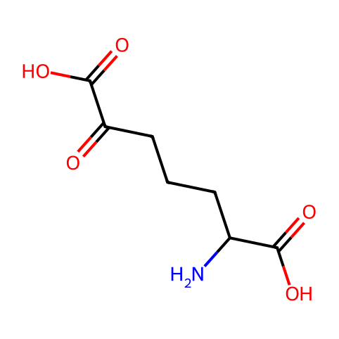 NC(CCCC(=O)C(=O)O)C(=O)O